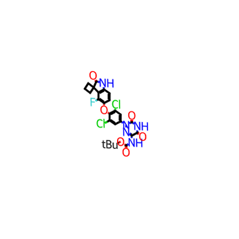 CC(C)(C)OC(=O)Nc1nn(-c2cc(Cl)c(Oc3ccc4c(c3F)C3(CCC3)C(=O)N4)c(Cl)c2)c(=O)[nH]c1=O